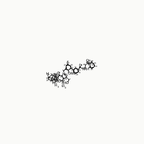 COc1c(CN2O[C@@H](CO)[C@@H]([C@H](C)O)[C@H]2C(=O)N[C@H]2C[C@H]3C[C@@H]([C@@H]2C)C3(C)C)cc(F)cc1-c1cccc(C(=O)N[C@@H](Cc2ccccn2)CN(C)C)c1